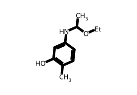 CCOC(C)Nc1ccc(C)c(O)c1